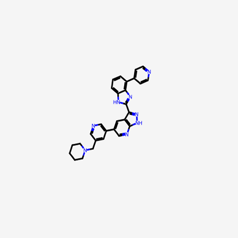 c1cc(-c2ccncc2)c2nc(-c3n[nH]c4ncc(-c5cncc(CN6CCCCC6)c5)cc34)[nH]c2c1